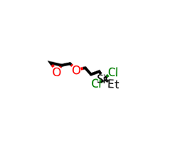 CC[Si](Cl)(Cl)CCCOCC1CO1